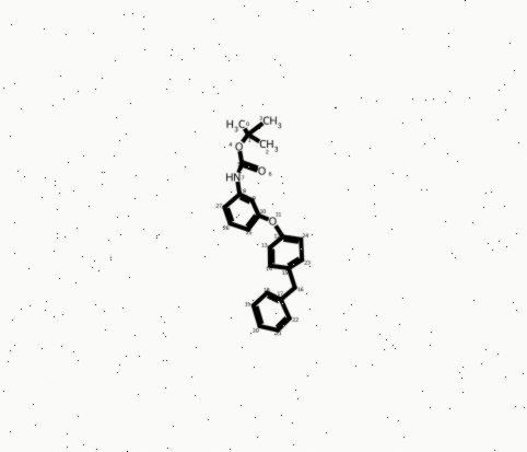 CC(C)(C)OC(=O)Nc1[c]c(Oc2ccc(Cc3ccccc3)cc2)ccc1